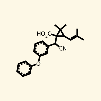 CC(C)=CC1C(C)(C)C1(C(=O)O)C(C#N)c1cccc(Oc2ccccc2)c1